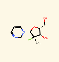 C[C@@]1(F)[C@H](O)[C@@H](CO)O[C@H]1N1C=CC=NC1